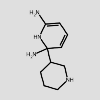 NC1=CC=CC(N)(C2CCCNC2)N1